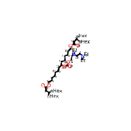 CCCCCCC(CCCCCC)CC(=O)OCCCCCCCC(CCCCCCOC(=O)CC(CCCCCC)CCCCCC)OC(=O)OCCN(CC)CCN(CC)CC